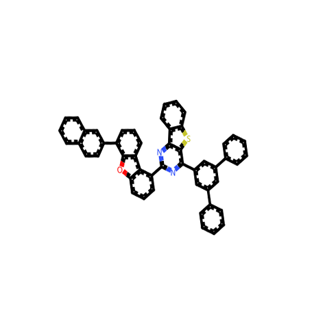 c1ccc(-c2cc(-c3ccccc3)cc(-c3nc(-c4cccc5oc6c(-c7ccc8ccccc8c7)cccc6c45)nc4c3sc3ccccc34)c2)cc1